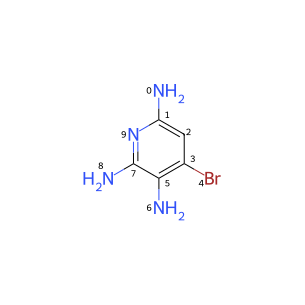 Nc1cc(Br)c(N)c(N)n1